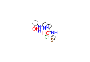 OC(Nc1ccsc1Cl)c1ccc2ccc(N[C@@H]3CCCC[C@@H]3O)nn12